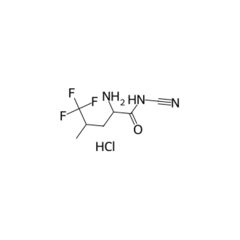 CC(CC(N)C(=O)NC#N)C(F)(F)F.Cl